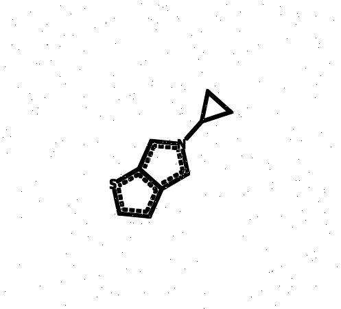 c1cc2cn(C3CC3)cc2s1